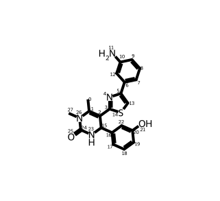 CC1=C(c2nc(-c3cccc(N)c3)cs2)C(c2cccc(O)c2)NC(=O)N1C